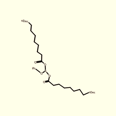 CCCCCCCCCCCCCCCCCC(=O)OB(OC(=O)CCCCCCCCCCCCCCCCC)OC(C)C